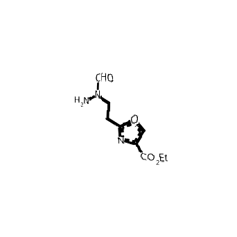 CCOC(=O)c1coc(CCN(N)C=O)n1